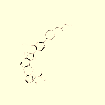 COc1cc(C2CCN(CC(O)CO)CC2)ccc1-c1nc2c(N[C@H]3[C@@H](C(N)=O)[C@@H]4C=C[C@H]3C4)c(Cl)cnc2[nH]1